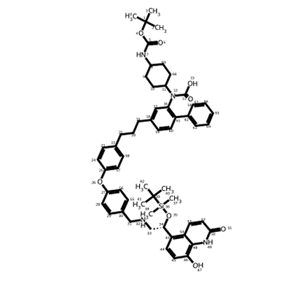 CC(C)(C)OC(=O)NC1CCC(N(C(=O)O)c2cc(CCCc3ccc(Oc4ccc(CNC[C@H](O[Si](C)(C)C(C)(C)C)c5ccc(O)c6[nH]c(=O)ccc56)cc4)cc3)ccc2-c2ccccc2)CC1